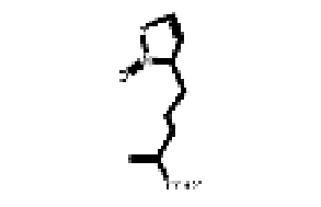 C=C(CCCC1C=CS[N+]1=O)C(=O)[O-]